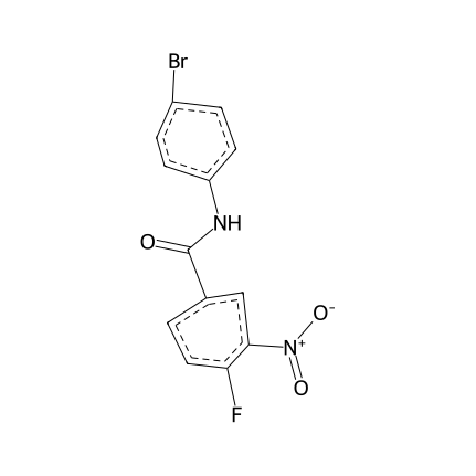 O=C(Nc1ccc(Br)cc1)c1ccc(F)c([N+](=O)[O-])c1